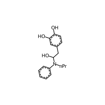 CCCN(c1ccccc1)C(O)Cc1ccc(O)c(O)c1